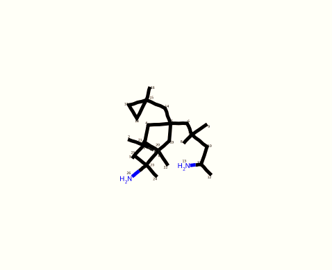 CCC(C)(C)CC(CC(C)(C)CC(C)N)(CC1(C)CC1)CC(C)(C)C(C)(C)N